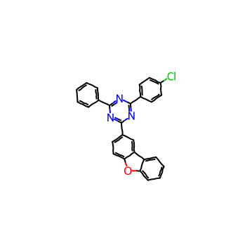 Clc1ccc(-c2nc(-c3ccccc3)nc(-c3ccc4oc5ccccc5c4c3)n2)cc1